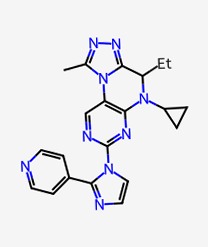 CCC1c2nnc(C)n2-c2cnc(-n3ccnc3-c3ccncc3)nc2N1C1CC1